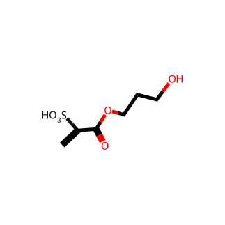 C=C(C(=O)OCCCO)S(=O)(=O)O